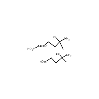 CCCCCCCCCCCCC(C)(N)C(C)C.CCCCCCCCCCCCC(C)(N)C(C)C.O=S(=O)(O)O